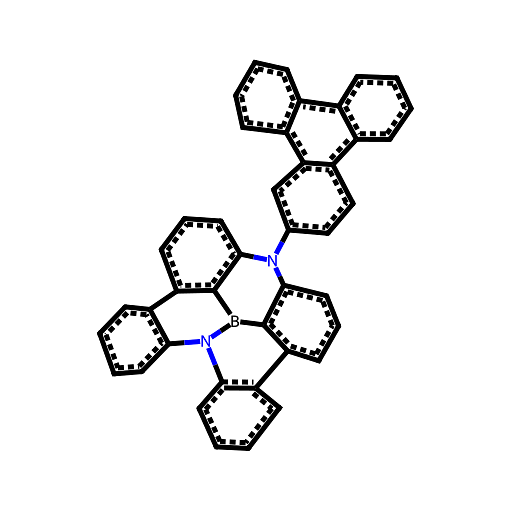 c1ccc2c(c1)-c1cccc3c1B1c4c(cccc4N3c3ccc4c5ccccc5c5ccccc5c4c3)-c3ccccc3N12